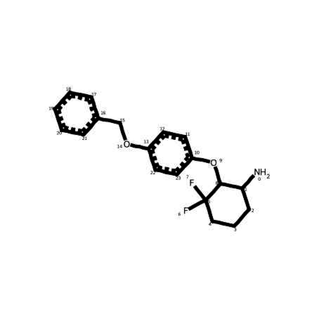 NC1CCCC(F)(F)C1Oc1ccc(OCc2ccccc2)cc1